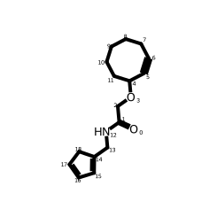 O=C(COC1C#CCCCCC1)NCC1=CC=CC1